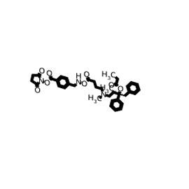 CCC(=O)O[C@](Cc1ccccc1)(c1ccccc1)[C@H](C)CN(C)CCCC(=O)ONCc1ccc(C(=O)ON2C(=O)CCC2=O)cc1